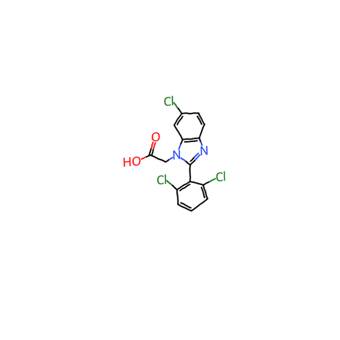 O=C(O)Cn1c(-c2c(Cl)cccc2Cl)nc2ccc(Cl)cc21